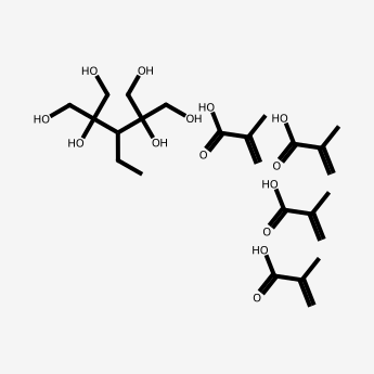 C=C(C)C(=O)O.C=C(C)C(=O)O.C=C(C)C(=O)O.C=C(C)C(=O)O.CCC(C(O)(CO)CO)C(O)(CO)CO